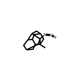 CC12CC3CC4C5CC(CC41)CC2(N=[N+]=[N-])C5C3